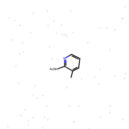 CC(=O)[N]c1ncccc1C